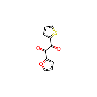 O=C(C(=O)c1cccs1)c1ccco1